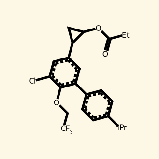 CCC(=O)OC1CC1c1cc(Cl)c(OCC(F)(F)F)c(-c2ccc(C(C)C)cc2)c1